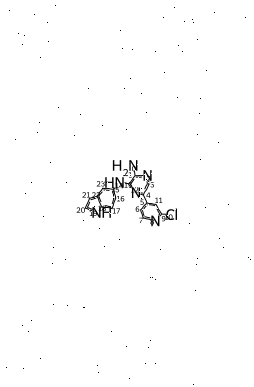 Nc1ncc(-c2ccnc(Cl)c2)nc1Nc1ccc2[nH]ccc2c1